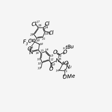 COC1=NO[C@H](N(C(=O)OC(C)(C)C)C(=O)c2ccc(C3=NOC(c4cc(Cl)c(Cl)c(Cl)c4)(C(F)(F)F)C3)cc2C)C1